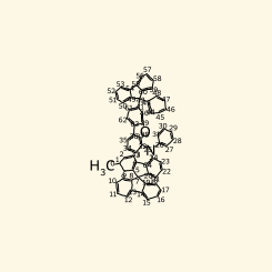 CC1C=CC2=C(C1)C1(c3ccccc3-c3ccccc31)c1cccc(N(c3ccccc3)c3cccc4c3oc3cc(C5(c6ccccc6)c6ccccc6-c6ccccc65)ccc34)c12